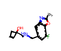 CC(C)c1nc2cc(CNCC3(O)CCC3)cc(F)c2o1